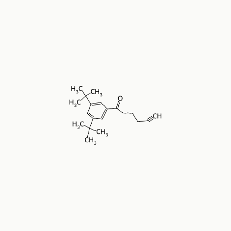 C#CCCCC(=O)c1cc(C(C)(C)C)cc(C(C)(C)C)c1